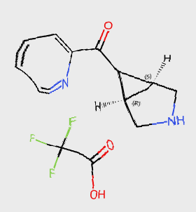 O=C(O)C(F)(F)F.O=C(c1ccccn1)C1[C@H]2CNC[C@@H]12